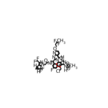 CC(F)(F)CCOc1ccc2c(=O)n(-c3ccc(CCl)c4c(NS(C)(=O)=O)n[nH]c34)c(C(CNC(=O)Cn3nc(C(F)F)c4c3C(F)(F)[C@@H]3C[C@H]43)c3cc(F)cc(F)c3)nc2n1